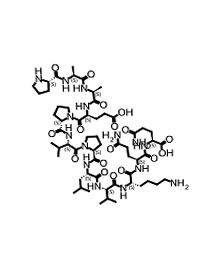 CC(C)C[C@H](NC(=O)[C@@H]1CCCN1C(=O)[C@@H](NC(=O)[C@@H]1CCCN1C(=O)[C@H](CCC(=O)O)NC(=O)[C@H](C)NC(=O)[C@H](C)NC(=O)[C@@H]1CCCN1)C(C)C)C(=O)N[C@H](C(=O)N[C@@H](CCCCN)C(=O)N[C@@H](CCC(N)=O)C(=O)N[C@@H](CCC(N)=O)C(=O)O)C(C)C